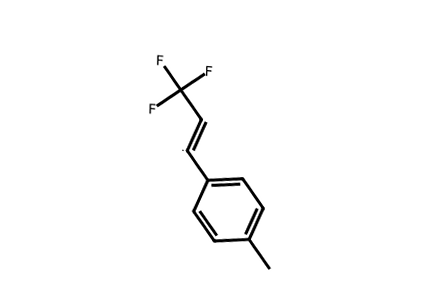 Cc1ccc(/[C]=C/C(F)(F)F)cc1